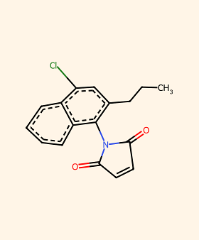 CCCc1cc(Cl)c2ccccc2c1N1C(=O)C=CC1=O